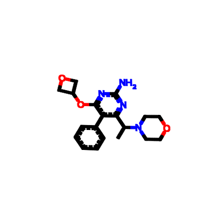 CC(c1nc(N)nc(OC2COC2)c1-c1ccccc1)N1CCOCC1